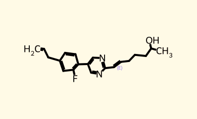 C=CCc1ccc(-c2cnc(/C=C/CCCC(C)O)nc2)c(F)c1